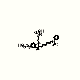 CC(=O)N(/C=C/C=C/C=C/C1=[N+](CCCCS(=O)(=O)O)c2ccc(SOOO)cc2C1(C)C)c1ccccc1